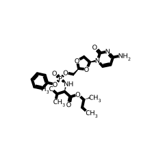 CC[C@@H](C)OC(=O)[C@@H](NP(=O)(OC[C@H]1OC[C@@H](n2ccc(N)nc2=O)O1)Oc1ccccc1)C(C)C